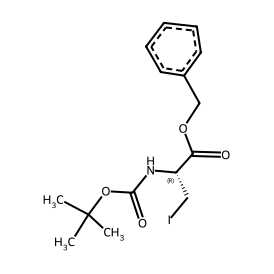 CC(C)(C)OC(=O)N[C@@H](CI)C(=O)OCc1ccccc1